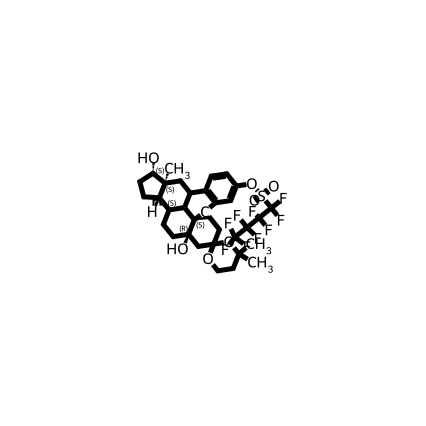 CC1(C)CCOC2(CC[C@@]34Cc5cc(OS(=O)(=O)C(F)(F)C(F)(F)C(F)(F)C(F)(F)F)ccc5C5C[C@]6(C)[C@@H](O)CC[C@H]6[C@H](CC[C@@]3(O)C2)C54)O1